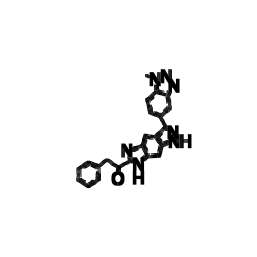 Cn1nnc2cc(-c3n[nH]c4cc5[nH]c(C(=O)Cc6ccccc6)nc5cc34)ccc21